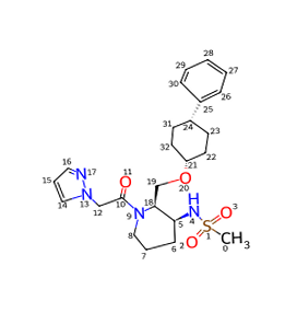 CS(=O)(=O)N[C@H]1CCCN(C(=O)Cn2cccn2)[C@H]1CO[C@H]1CC[C@@H](c2ccccc2)CC1